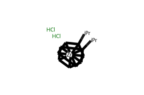 CC(C)[C]12[CH]3[CH]4[CH]5[CH]1[Zr]45321678[CH]2[CH]1[CH]6[C]7(C(C)C)[CH]28.Cl.Cl